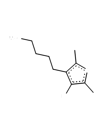 CCc1c(C)sc(C)c1CCCCOC